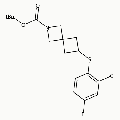 CC(C)(C)OC(=O)N1CC2(CC(Sc3ccc(F)cc3Cl)C2)C1